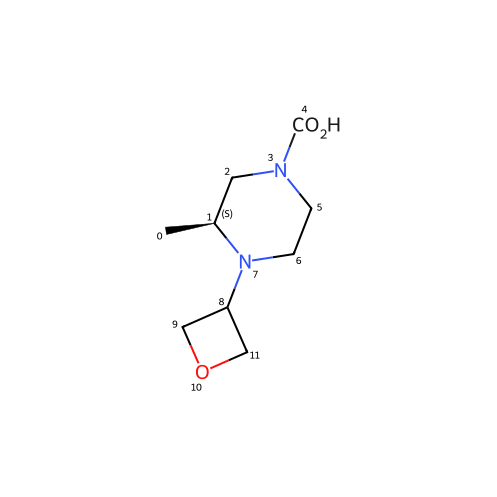 C[C@H]1CN(C(=O)O)CCN1C1COC1